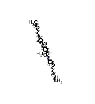 C=CC(=O)OCCCCOc1ccc(/C=C/C(=O)Nc2ccc(OC(=O)c3ccc(OCCCCOC(=O)C=C)cc3)cc2C)cc1